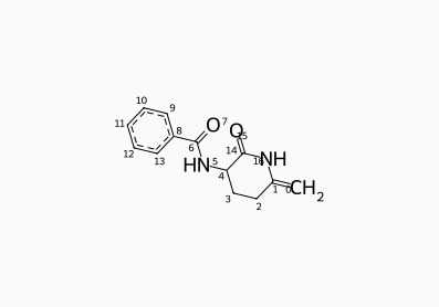 C=C1CCC(NC(=O)c2ccccc2)C(=O)N1